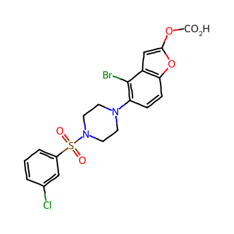 O=C(O)Oc1cc2c(Br)c(N3CCN(S(=O)(=O)c4cccc(Cl)c4)CC3)ccc2o1